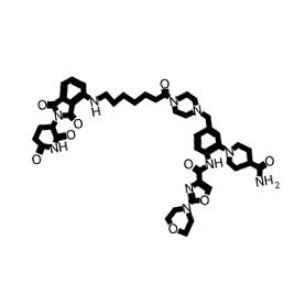 NC(=O)C1CCN(c2cc(CN3CCN(C(=O)CCCCCCNc4cccc5c4C(=O)N(C4CCC(=O)NC4=O)C5=O)CC3)ccc2NC(=O)c2coc(N3CCOCC3)n2)CC1